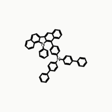 c1ccc(-c2ccc(N(c3ccc(-c4ccccc4)cc3)c3ccc(-c4c5ccccc5cc5c6ccc7ccccc7c6n(-c6ccccc6)c45)cc3)cc2)cc1